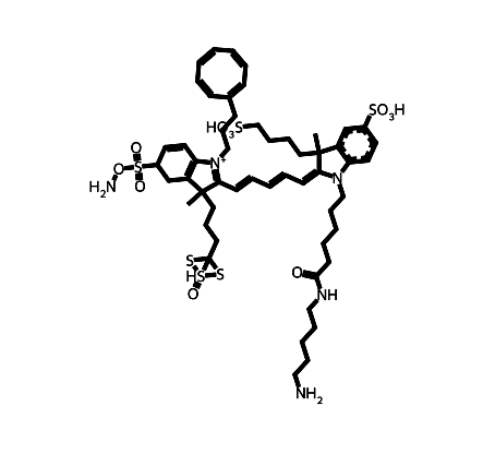 CC1(CCCC23S[SH]2(=O)S3)C2=C(C=CC(S(=O)(=O)ON)C2)[N+](CCCC2=C/C=C\C=C/C=C\2)=C1/C=C/C=C/C=C1/N(CCCCCC(=O)NCCCCCN)c2ccc(S(=O)(=O)O)cc2C1(C)CCCCS(=O)(=O)O